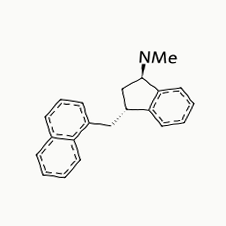 CN[C@@H]1C[C@@H](Cc2cccc3ccccc23)c2ccccc21